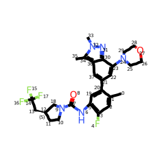 Cc1cc(F)c(NC(=O)N2CC[C@@H](CC(F)(F)F)C2)cc1-c1cc(N2CCOCC2)c2nn(C)c(C)c2c1